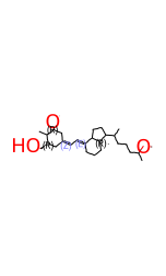 COC(C)CCCC(C)C1CCC2/C(=C/C=C3/C[C@@H](CO)C(C)[C@H](OC)C3)CCC[C@@]21C